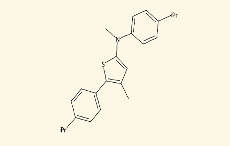 Cc1cc(N(C)c2ccc(C(C)C)cc2)sc1-c1ccc(C(C)C)cc1